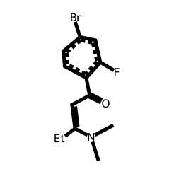 CCC(=CC(=O)c1ccc(Br)cc1F)N(C)C